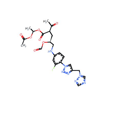 CC(=O)OC(C)OC(=O)C(C[C@@H](CNc1ccc(-n2cc(Cn3cncn3)nn2)c(F)c1)OC=O)C(C)=O